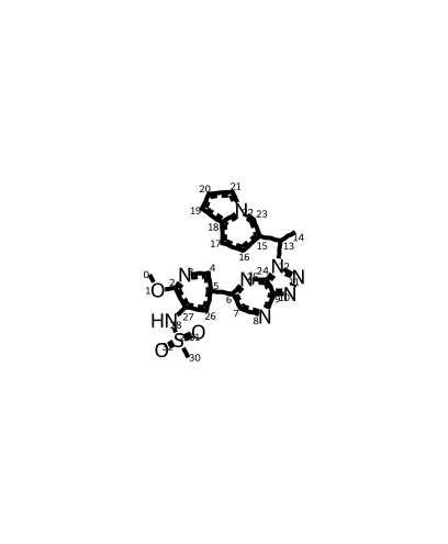 COc1ncc(-c2cnc3nnn(C(C)c4ccc5cccn5c4)c3n2)cc1NS(C)(=O)=O